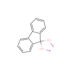 IBC1(BI)c2ccccc2-c2ccccc21